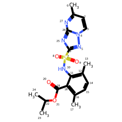 Cc1ccn2nc(S(=O)(=O)Nc3c(C)ccc(C)c3C(=O)OC(C)C)nc2n1